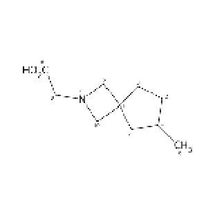 CC1CCC2(C1)CN(CC(=O)O)C2